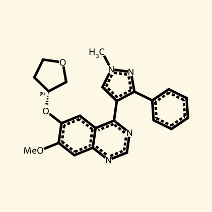 COc1cc2ncnc(-c3cn(C)nc3-c3ccccc3)c2cc1O[C@@H]1CCOC1